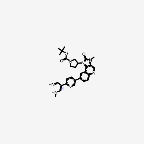 CN/C=C(\C=N)c1ccc(-c2ccc3ncc4c(c3c2)n(C2CCN(C(=O)OC(C)(C)C)C2)c(=O)n4C)cn1